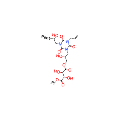 C=CCn1c(=O)n(CC(O)COC(=O)C(O)C(O)C(=O)OC(C)C)c(=O)n(CC(O)C(C)CCC)c1=O